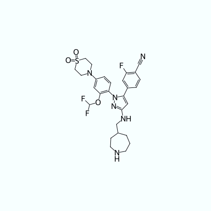 N#Cc1ccc(-c2cc(NCC3CCCNCC3)nn2-c2ccc(N3CCS(=O)(=O)CC3)cc2OC(F)F)cc1F